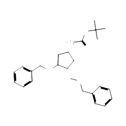 CC(C)(C)OC(=O)N[C@H]1CC(OCc2ccccc2)[C@@H](COCc2ccccc2)C1